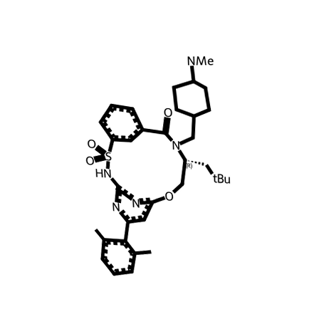 CNC1CCC(CN2C(=O)c3cccc(c3)S(=O)(=O)Nc3nc(cc(-c4c(C)cccc4C)n3)OC[C@H]2CC(C)(C)C)CC1